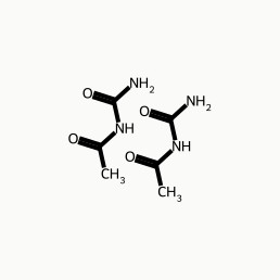 CC(=O)NC(N)=O.CC(=O)NC(N)=O